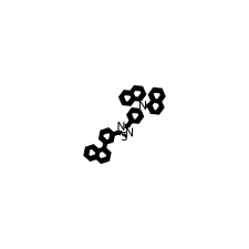 c1cc(-c2nc(-c3ccc(N(c4cccc5ccccc45)c4cccc5ccccc45)cc3)ns2)cc(-c2cccc3ccccc23)c1